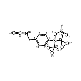 CC(=O)O[Si](c1ccc(CN=C=O)cc1)(C1(C)OO1)C1(C)OO1